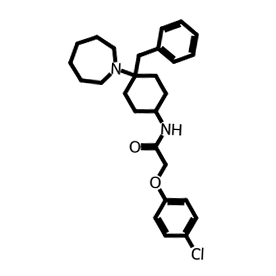 O=C(COc1ccc(Cl)cc1)NC1CCC(Cc2ccccc2)(N2CCCCCC2)CC1